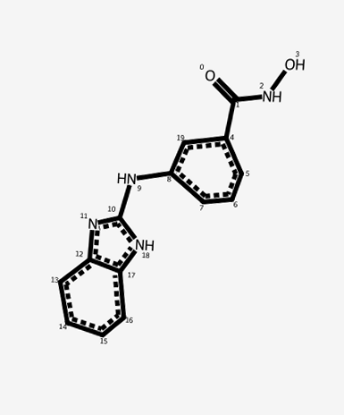 O=C(NO)c1cccc(Nc2nc3ccccc3[nH]2)c1